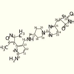 Cc1noc(C)c1-c1nc(N)ccc1CNCC1CCN(c2nccc(/C=C3/SC(=O)NC3=O)n2)CC1